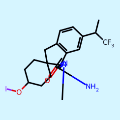 CC(c1ccc2c(c1)C1(N=C(N)N(C)C1=O)C1(CCC(OI)CC1)C2)C(F)(F)F